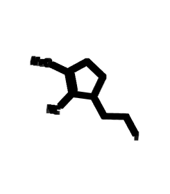 COC1=C(C#N)C(CCI)CC1